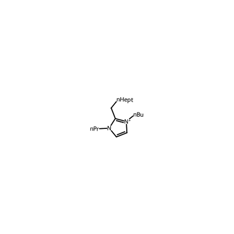 CCCCCCCCc1n(CCC)cc[n+]1CCCC